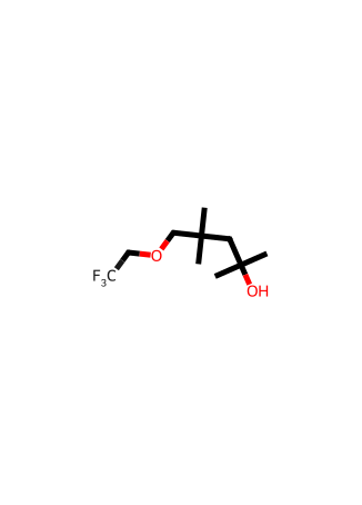 CC(C)(O)CC(C)(C)COCC(F)(F)F